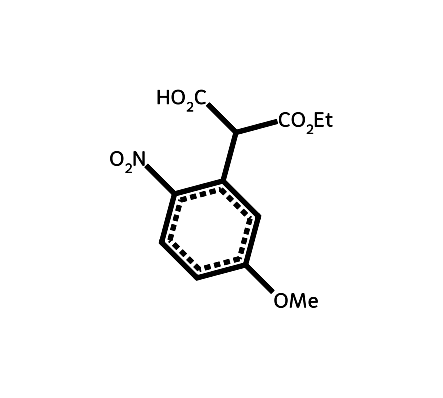 CCOC(=O)C(C(=O)O)c1cc(OC)ccc1[N+](=O)[O-]